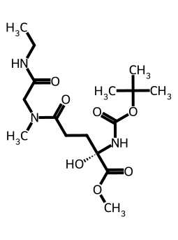 CCNC(=O)CN(C)C(=O)CC[C@@](O)(NC(=O)OC(C)(C)C)C(=O)OC